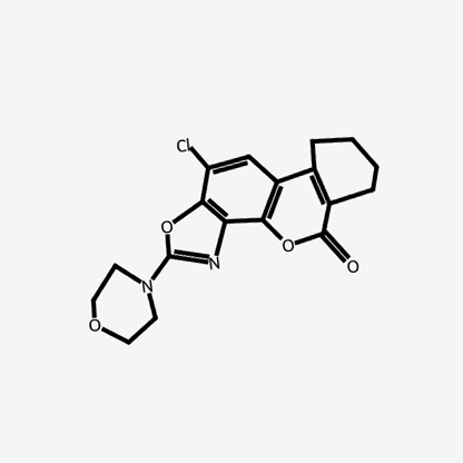 O=c1oc2c(cc(Cl)c3oc(N4CCOCC4)nc32)c2c1CCCC2